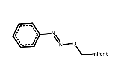 CCCCCCO/N=N/c1ccccc1